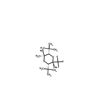 CC(C)(C)[C@@H]1O[C@@](C)(O)[C@H](C(C)(C)C)O[C@]1(O)C(F)(F)F